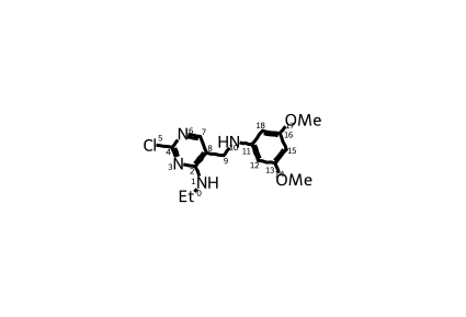 CCNc1nc(Cl)ncc1CNc1cc(OC)cc(OC)c1